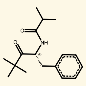 CC(C)C(=O)N[C@H](Cc1ccccc1)C(=O)C(C)(C)C